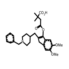 COc1cc2c(cc1OC)C(OC(=O)CC(C)(C)C(=O)O)=C(CC1CCN(Cc3ccccc3)CC1)C2